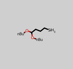 CCCCOC(CCC[SiH3])OCCCC